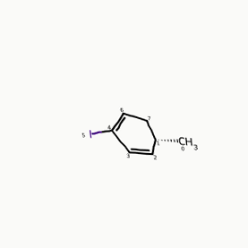 C[C@@H]1C=CC(I)=CC1